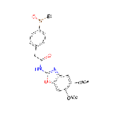 CC[S+]([O-])c1ccc(CC(=O)Nc2nc3cc(OC)c(OC)cc3o2)cc1